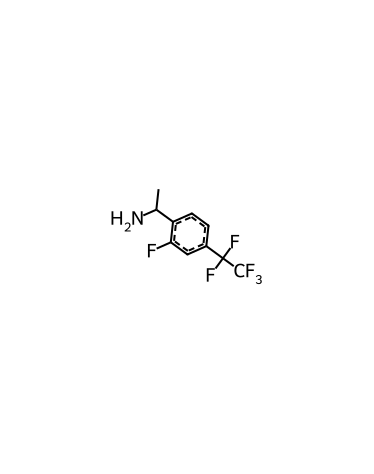 CC(N)c1ccc(C(F)(F)C(F)(F)F)cc1F